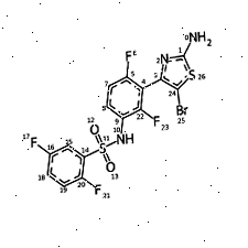 Nc1nc(-c2c(F)ccc(NS(=O)(=O)c3cc(F)ccc3F)c2F)c(Br)s1